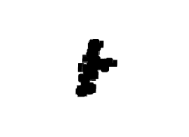 CCn1c(CNC(=O)OCC2c3ccccc3-c3ccccc32)[n+](CC)c2cc(OCC(=O)OC(C)(C)C)c(C(=O)NC3CCN(C(=O)OC(C)(C)C)CC3)cc21